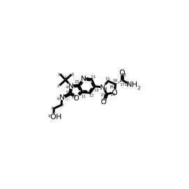 CC(C)(C)n1/c(=N/CCO)oc2cc(N3C[C@H](C(N)=O)OC3=O)cnc21